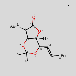 COC1C(=O)O[C@H]2C1OC(C)(C)O[C@@H]2C=CC(C)(C)C